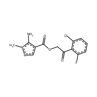 Cn1ncc(C(=O)OCC(=O)c2c(F)cccc2Cl)c1N